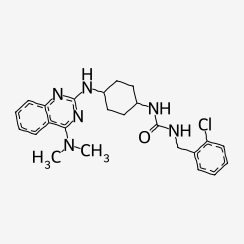 CN(C)c1nc(NC2CCC(NC(=O)NCc3ccccc3Cl)CC2)nc2ccccc12